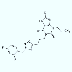 CCCn1c(=O)n(CCCc2nc(Cc3ccc(F)cc3F)no2)c(=O)c2[nH]c(Cl)nc21